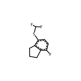 Fc1ccc(SC(F)F)c2c1CCC2